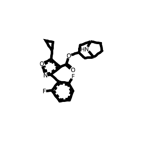 O=C(OC1CC2CCC(C1)N2)c1c(-c2c(F)cccc2F)noc1C1CC1